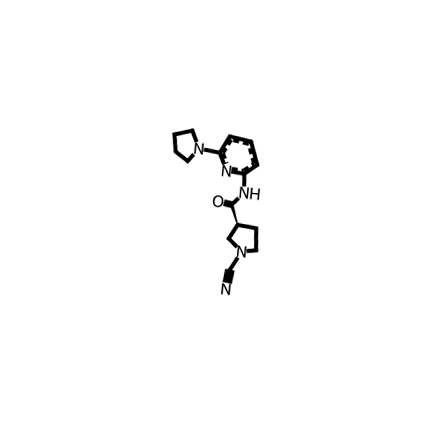 N#CN1CC[C@H](C(=O)Nc2cccc(N3CCCC3)n2)C1